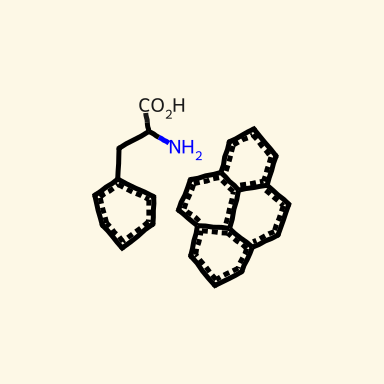 NC(Cc1ccccc1)C(=O)O.c1cc2ccc3cccc4ccc(c1)c2c34